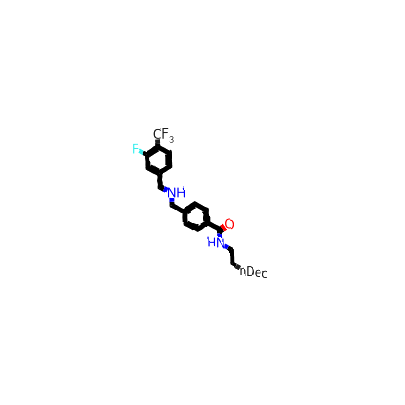 CCCCCCCCCCCCNC(=O)c1ccc(CNCc2ccc(C(F)(F)F)c(F)c2)cc1